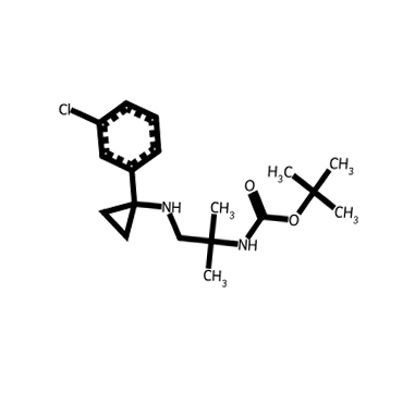 CC(C)(CNC1(c2cccc(Cl)c2)CC1)NC(=O)OC(C)(C)C